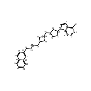 Cc1ncnc2c1ccn2C1CCC(CN2CC(CNCCc3ccc4ccccc4c3)C2)C1